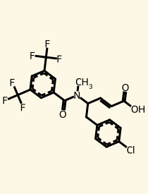 CN(C(=O)c1cc(C(F)(F)F)cc(C(F)(F)F)c1)C(C=CC(=O)O)Cc1ccc(Cl)cc1